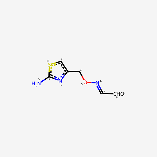 Nc1nc(CON=C[C]=O)cs1